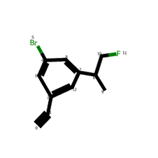 C#Cc1cc(Br)cc([C](C)CF)c1